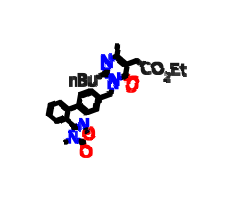 CCCCc1nc(C)c(CC(=O)OCC)c(=O)n1Cc1ccc(-c2ccccc2-c2noc(=O)n2C)cc1